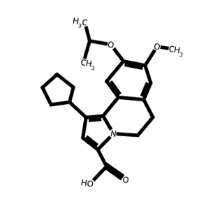 COc1cc2c(cc1OC(C)C)-c1c(C3CCCC3)cc(C(=O)O)n1CC2